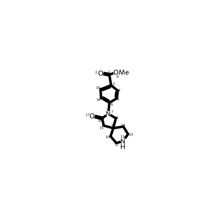 COC(=O)c1ccc(N2CC3(CCNCC3)CC2=O)cc1